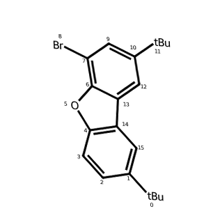 CC(C)(C)c1ccc2oc3c(Br)cc(C(C)(C)C)cc3c2c1